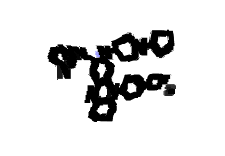 FC(F)(F)c1ccc(-n2c3c/c(=N\C4CCN(C5CCCC5)CC4)c(Nc4cccnc4)cc-3nc3ccccc32)cc1